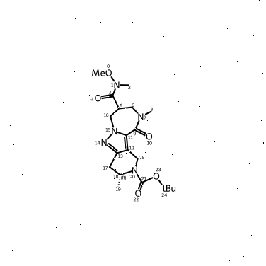 CON(C)C(=O)C1CN(C)C(=O)c2c3c(nn2C1)C[C@@H](C)N(C(=O)OC(C)(C)C)C3